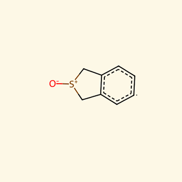 [O-][S+]1Cc2c[c]ccc2C1